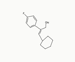 OCC(=CC1CCCCC1)c1ccc(F)cc1